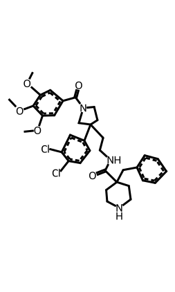 COc1cc(C(=O)N2CCC(CCNC(=O)C3(Cc4ccccc4)CCNCC3)(c3ccc(Cl)c(Cl)c3)C2)cc(OC)c1OC